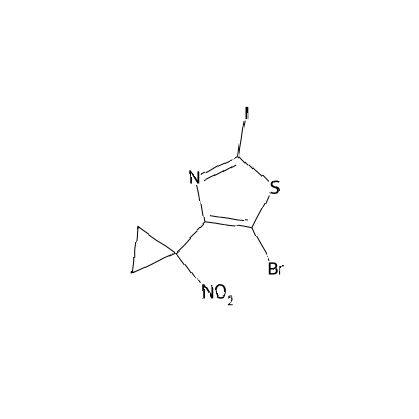 O=[N+]([O-])C1(c2nc(I)sc2Br)CC1